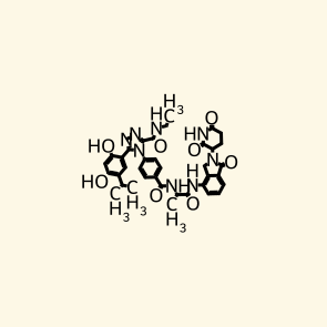 CCNC(=O)c1nnc(-c2cc(C(C)C)c(O)cc2O)n1-c1ccc(C(=O)NC(C)C(=O)Nc2cccc3c2CN(C2CCC(=O)NC2=O)C3=O)cc1